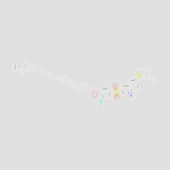 CCCCCCCCCCCCCCCCOc1ccc(S(=O)(=O)c2cnc3ccc(SC)cc3c2)cc1F